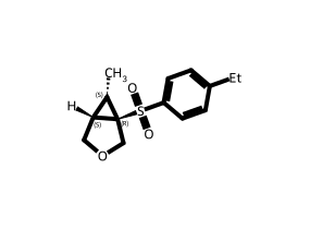 CCc1ccc(S(=O)(=O)[C@@]23COC[C@@H]2[C@@H]3C)cc1